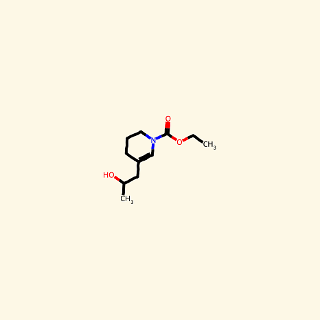 CCOC(=O)N1C=C(CC(C)O)CCC1